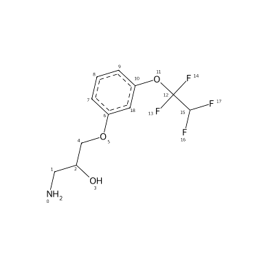 NCC(O)COc1cccc(OC(F)(F)C(F)F)c1